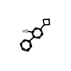 Sc1cc(C2CCC2)ccc1-c1ccccc1